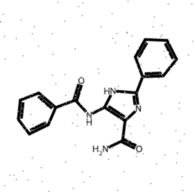 NC(=O)c1nc(-c2ccccc2)[nH]c1NC(=O)c1ccccc1